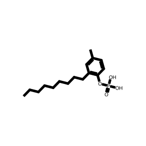 CCCCCCCCCc1cc(C)ccc1OP(=O)(O)O